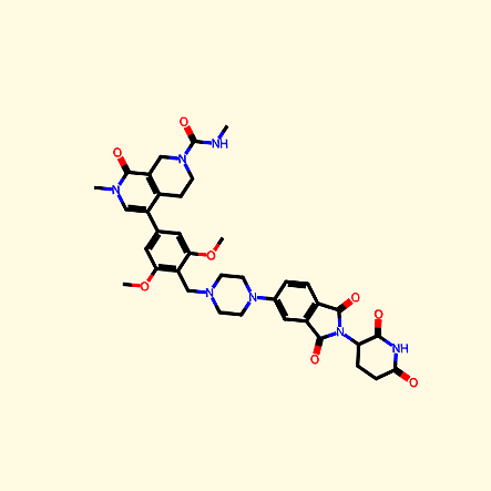 CNC(=O)N1CCc2c(-c3cc(OC)c(CN4CCN(c5ccc6c(c5)C(=O)N(C5CCC(=O)NC5=O)C6=O)CC4)c(OC)c3)cn(C)c(=O)c2C1